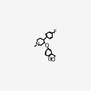 CN1CCC(c2ccc(F)cc2)C(Oc2ccc3c(c2)COO3)C1